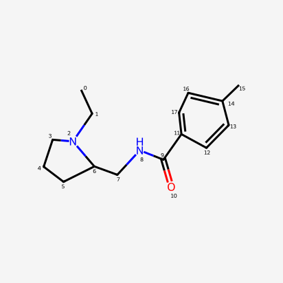 CCN1CCCC1CNC(=O)c1ccc(C)cc1